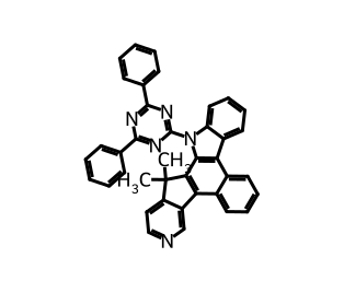 CC1(C)c2ccncc2-c2c1c1c(c3ccccc23)c2ccccc2n1-c1nc(-c2ccccc2)nc(-c2ccccc2)n1